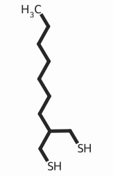 CCCCCCCC(CS)CS